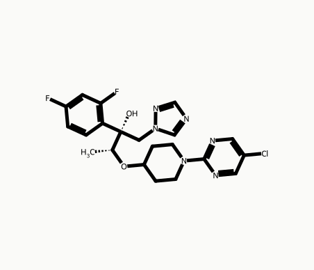 C[C@@H](OC1CCN(c2ncc(Cl)cn2)CC1)[C@](O)(Cn1cncn1)c1ccc(F)cc1F